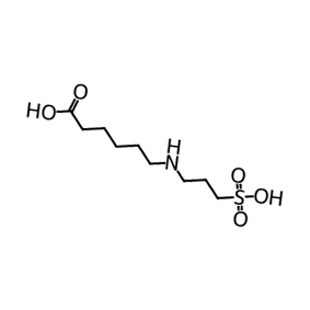 O=C(O)CCCCCNCCCS(=O)(=O)O